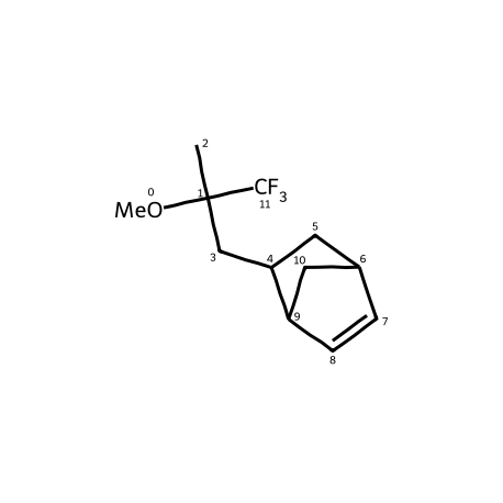 COC(C)(CC1CC2C=CC1C2)C(F)(F)F